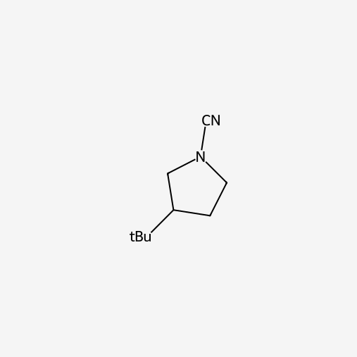 CC(C)(C)C1CCN(C#N)C1